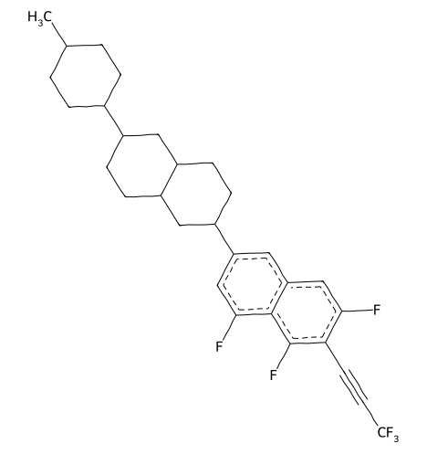 CC1CCC(C2CCC3CC(c4cc(F)c5c(F)c(C#CC(F)(F)F)c(F)cc5c4)CCC3C2)CC1